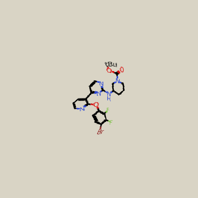 CC(C)(C)OC(=O)N1CCCC(Nc2nccc(-c3cccnc3Oc3ccc(Br)c(F)c3F)n2)C1